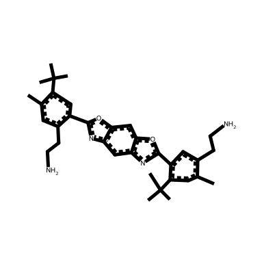 Cc1cc(C(C)(C)C)c(-c2nc3cc4nc(-c5cc(C(C)(C)C)c(C)cc5CCN)oc4cc3o2)cc1CCN